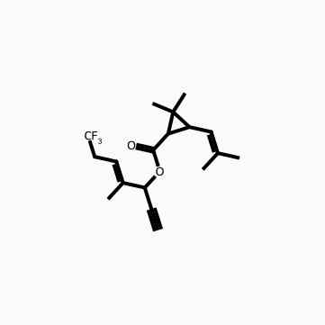 C#CC(OC(=O)C1C(C=C(C)C)C1(C)C)C(C)=CCC(F)(F)F